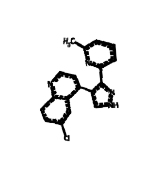 Cc1cccc(-c2n[nH]cc2-c2ccnc3ccc(Cl)cc23)n1